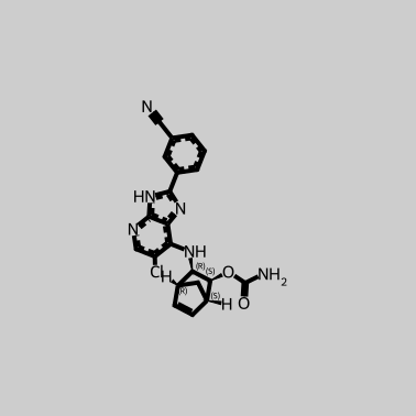 N#Cc1cccc(-c2nc3c(N[C@H]4[C@@H](OC(N)=O)[C@@H]5C=C[C@H]4C5)c(Cl)cnc3[nH]2)c1